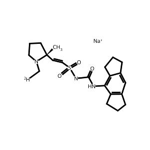 [2H]CN1CCC[C@]1(C)/C=C/S(=O)(=O)[N-]C(=O)Nc1c2c(cc3c1CCC3)CCC2.[Na+]